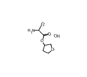 CCC(N)C(=O)OC1CCOC1.Cl